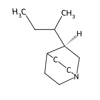 CCC(C)[C@H]1CN2CCC1CC2